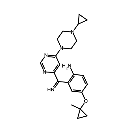 CC1(Oc2ccc(N)c(C(=N)c3cc(N4CCN(C5CC5)CC4)ncn3)c2)CC1